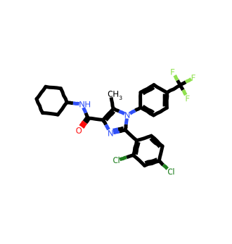 Cc1c(C(=O)NC2CCCCC2)nc(-c2ccc(Cl)cc2Cl)n1-c1ccc(C(F)(F)F)cc1